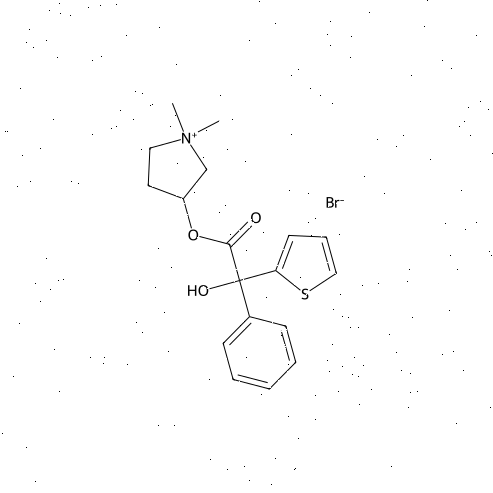 C[N+]1(C)CCC(OC(=O)C(O)(c2ccccc2)c2cccs2)C1.[Br-]